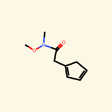 CON(C)C(=O)CC1=CC=CC1